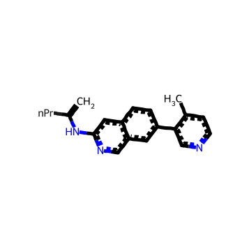 C=C(CCC)Nc1cc2ccc(-c3cnccc3C)cc2cn1